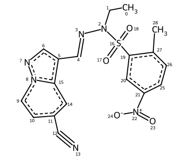 CCN(N=Cc1cnn2ccc(C#N)cc12)S(=O)(=O)c1cc([N+](=O)[O-])ccc1C